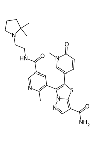 Cc1ncc(C(=O)NCCN2CCCC2(C)C)cc1-c1c(-c2ccc(=O)n(C)c2)sc2c(C(N)=O)cnn12